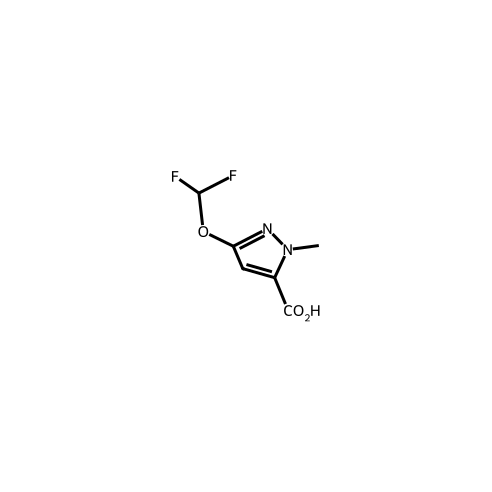 Cn1nc(OC(F)F)cc1C(=O)O